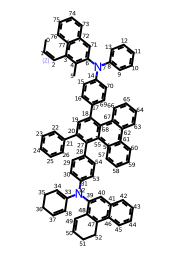 C/C=C\c1c(C)c(N(c2ccccc2)c2ccc(-c3cc(-c4ccccc4)c(-c4ccc(N(C5=CCCC=C5)c5cc6ccccc6c6c5C=CCC6)cc4)c4c5ccccc5c5ccccc5c34)cc2)cc2ccccc12